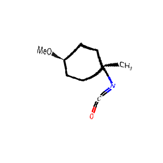 CO[C@H]1CC[C@](C)(N=C=O)CC1